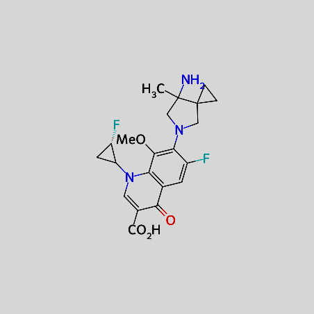 COc1c(N2CC(C)(N)C3(CC3)C2)c(F)cc2c(=O)c(C(=O)O)cn(C3C[C@@H]3F)c12